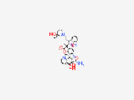 CC[C@]1(O)CCCN(CCc2c([C@@](C)(C(=O)OC)c3cc4c(cc3OC)N(C)C3[C@]45CCN4CC=C[C@](CC)(C45)[C@@H](O)[C@]3(O)C(N)=O)[nH]c3ccccc23)C1